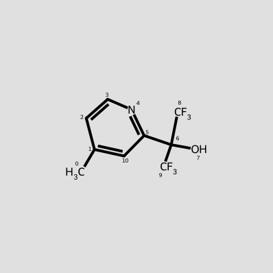 Cc1ccnc(C(O)(C(F)(F)F)C(F)(F)F)c1